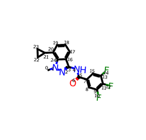 Cn1nc(NC(=O)c2cc(F)c(F)c(F)c2)c2cccc(C3CC3)c21